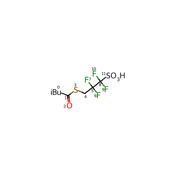 CCC(C)C(=O)SCC(F)(F)C(F)(F)S(=O)(=O)O